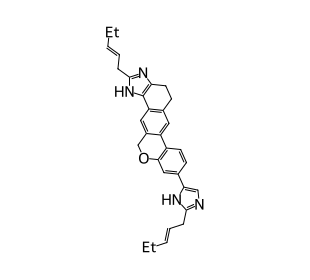 CCC=CCc1ncc(-c2ccc3c(c2)OCc2cc4c(cc2-3)CCc2nc(CC=CCC)[nH]c2-4)[nH]1